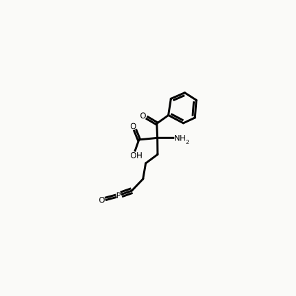 NC(CCCC#P=O)(C(=O)O)C(=O)c1ccccc1